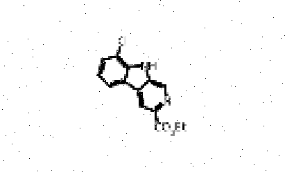 CCOC(=O)c1cc2c(cn1)[nH]c1c(Cl)cccc12